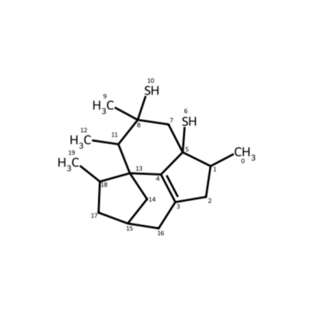 CC1CC2=C3C1(S)CC(C)(S)C(C)C31CC(C2)CC1C